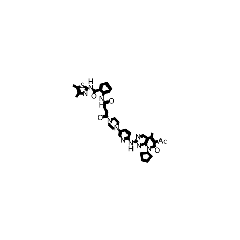 CC(=O)c1c(C)c2cnc(Nc3ccc(N4CCN(C(=O)CCC(=O)Nc5ccccc5C(=O)Nc5nc(C)c(C)s5)CC4)cn3)nc2n(C2CCCC2)c1=O